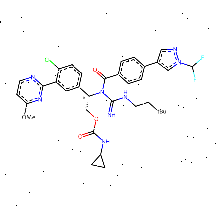 COc1ccnc(-c2cc([C@@H](COC(=O)NC3CC3)N(C(=N)NCCC(C)(C)C)C(=O)c3ccc(-c4cnn(C(F)F)c4)cc3)ccc2Cl)n1